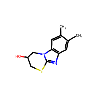 Cc1cc2nc3n(c2cc1C)CC(O)CS3